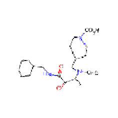 CC(C(=O)C(=O)NCC1CCCCC1)N(C=O)CC1CCN(C(=O)O)CC1